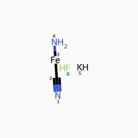 F.N#[C][Fe][NH2].[KH]